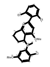 CCc1cccc(CC)c1-c1cc(OC)c2c(n1)CCCC2N(C)c1cc(OC)ccc1Cl